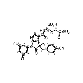 C[C@@]1(Cc2ccc(C#N)cc2)C(=O)N(c2cc(Cl)cc(Cl)c2)c2ncc(C(=O)N[C@@H](CCC(N)=O)C(=O)O)n21